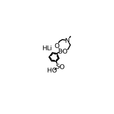 CN1CCOB(c2cccc(S(=O)O)c2)OCC1.[LiH]